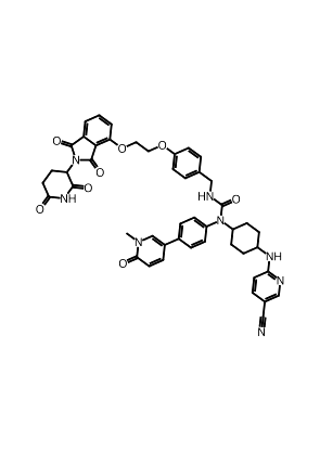 Cn1cc(-c2ccc(N(C(=O)NCc3ccc(OCCOc4cccc5c4C(=O)N(C4CCC(=O)NC4=O)C5=O)cc3)C3CCC(Nc4ccc(C#N)cn4)CC3)cc2)ccc1=O